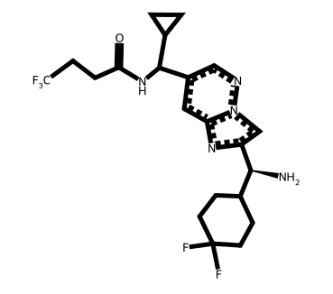 N[C@H](c1cn2ncc(C(NC(=O)CCC(F)(F)F)C3CC3)cc2n1)C1CCC(F)(F)CC1